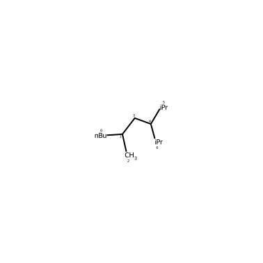 CC[CH]CC(C)CC(C(C)C)C(C)C